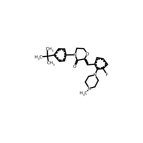 CN1CCN(c2c(F)cccc2C=C2OCCN(c3ccc(C(C)(C)C)cc3)C2=O)CC1